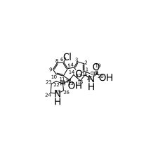 Cc1ccc(-c2c(Cl)cccc2C(O)(CCCNC(=O)O)[C@@H]2CCCNC2)o1